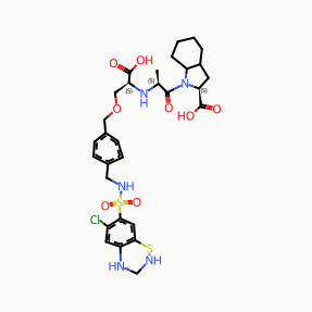 C[C@H](N[C@@H](COCc1ccc(CNS(=O)(=O)c2cc3c(cc2Cl)NCNS3)cc1)C(=O)O)C(=O)N1C2CCCCC2C[C@H]1C(=O)O